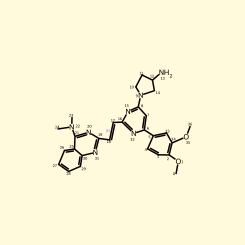 COc1ccc(-c2cc(N3CCC(N)C3)nc(/C=C/c3nc(N(C)C)c4ccccc4n3)n2)cc1OC